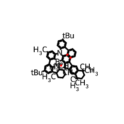 Cc1cc2c3c(c1)N(c1ccc(C(C)(C)C)cc1-c1ccccc1)c1ccc4c(c1B3N1c3c-2cc(C(C)(C)C)cc3C2(C)CCCCC12C)C(C)(C)c1cc2c(cc1-4)C(C)(C)CCC2(C)C